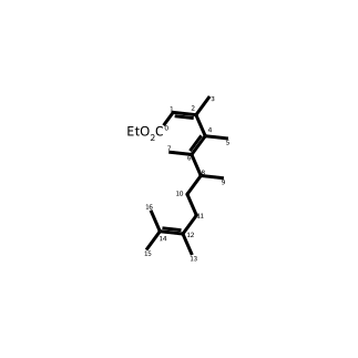 CCOC(=O)C=C(C)C(C)=C(C)C(C)CCC(C)=C(C)C